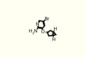 Nc1ncc(Br)cc1O[C@@H]1C[C@@H]2C[C@@H]2C1